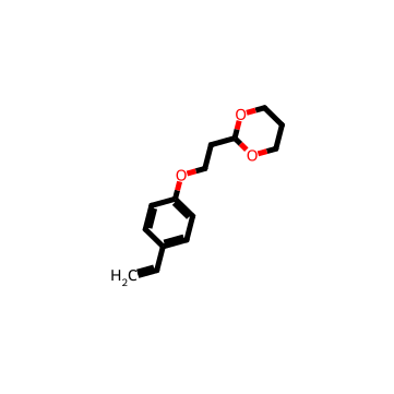 C=Cc1ccc(OCCC2OCCCO2)cc1